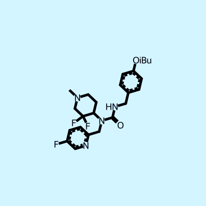 CC(C)COc1ccc(CNC(=O)N(Cc2ccc(F)cn2)C2CCN(C)CC2(F)F)cc1